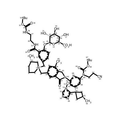 C[C@H]1CCC[N+](Cc2ccc(O[C@@H]3O[C@H](C(=O)O)[C@@H](O)[C@H](O)[C@H]3O)c(C(=O)NCCNC(=O)OC(C)(C)C)c2)(Cc2cc3c(c(C(F)(F)F)c2)CN(c2cc([C@]4(c5nncn5C)C[C@@H](C)C4)cc(N(CCC#N)C(=O)OC(C)(C)C)n2)C3=O)C1